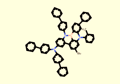 Cc1ccccc1N1c2cc(-c3ccccc3)ccc2B2c3c(cc(C(C)(C)C)cc31)-c1cc(N(c3ccc(-c4ccccc4)cc3)c3ccc(-c4ccccc4)cc3)ccc1N2c1ccc(-c2ccccc2)cc1